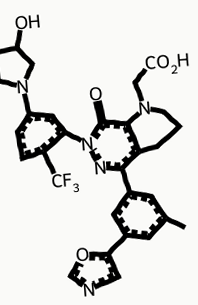 Cc1cc(-c2cnco2)cc(-c2nn(-c3cc(N4CCC(O)C4)ccc3C(F)(F)F)c(=O)c3c2CCCN3CC(=O)O)c1